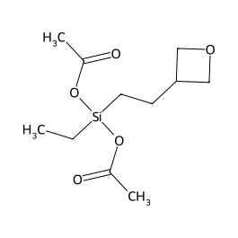 CC[Si](CCC1COC1)(OC(C)=O)OC(C)=O